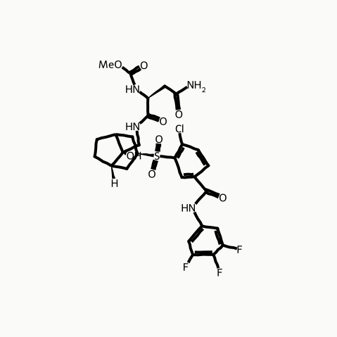 COC(=O)N[C@@H](CC(N)=O)C(=O)NC[C@@]1(O)C2CC[C@H]1C[C@H](S(=O)(=O)c1cc(C(=O)Nc3cc(F)c(F)c(F)c3)ccc1Cl)C2